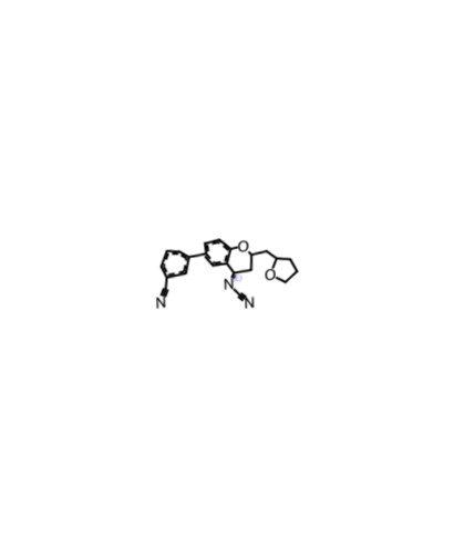 N#C/N=C1\CC(CC2CCCO2)Oc2ccc(-c3cccc(C#N)c3)cc21